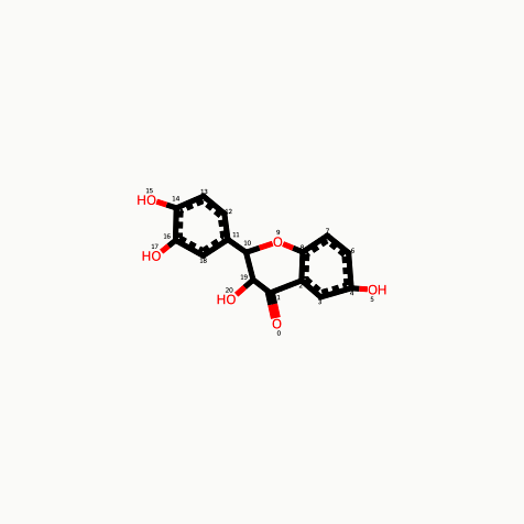 O=C1c2cc(O)ccc2OC(c2ccc(O)c(O)c2)C1O